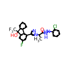 CC(C(=O)NNc1ccccc1Cl)n1cc(-c2cc(F)cc3c2-c2ccccc2C3(O)C(F)(F)F)cn1